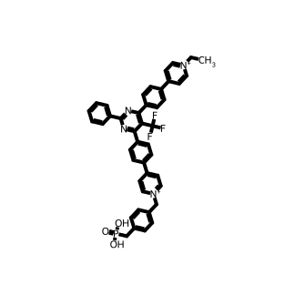 CC[n+]1ccc(-c2ccc(-c3nc(-c4ccccc4)nc(-c4ccc(-c5cc[n+](Cc6ccc(CP(=O)(O)O)cc6)cc5)cc4)c3C(F)(F)F)cc2)cc1